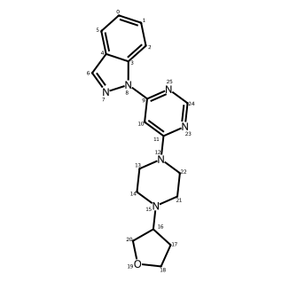 c1ccc2c(c1)cnn2-c1cc(N2CCN(C3CCOC3)CC2)ncn1